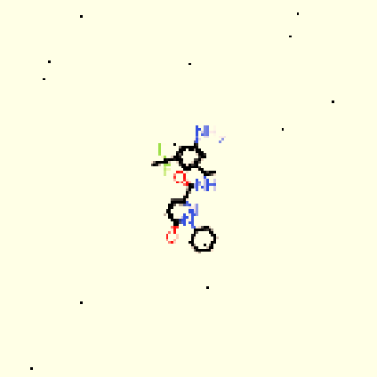 CC(NC(=O)c1ccc(=O)n(C2CCCCC2)n1)c1cc(N)cc(C(C)(F)F)c1